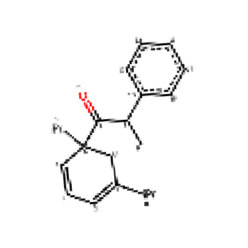 CC(C)C1=CC=CC(C(=O)C(C)c2ccccc2)(C(C)C)[CH]1